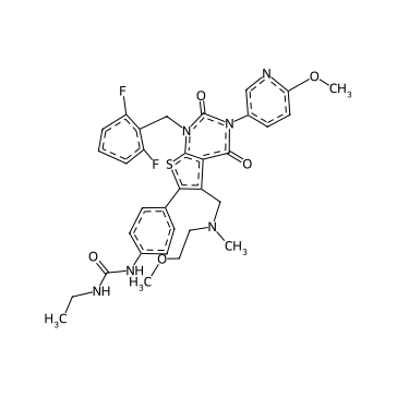 CCNC(=O)Nc1ccc(-c2sc3c(c2CN(C)CCOC)c(=O)n(-c2ccc(OC)nc2)c(=O)n3Cc2c(F)cccc2F)cc1